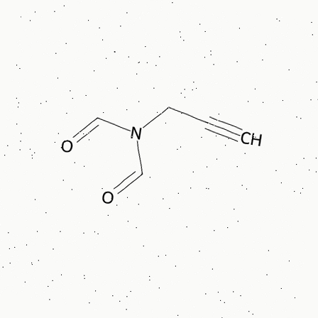 C#CCN(C=O)C=O